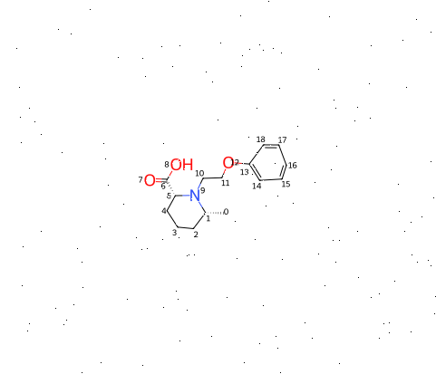 C[C@@H]1CCC[C@H](C(=O)O)N1CCOc1ccccc1